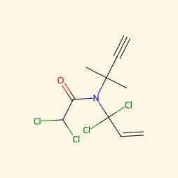 C#CC(C)(C)N(C(=O)C(Cl)Cl)C(Cl)(Cl)C=C